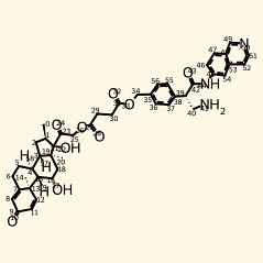 C[C@@H]1C[C@H]2[C@@H]3CCC4=CC(=O)C=C[C@]4(C)[C@H]3[C@@H](O)C[C@]2(C)[C@@]1(O)C(=O)COC(=O)CCC(=O)OCc1ccc([C@@H](CN)C(=O)Nc2ccc3cnccc3c2)cc1